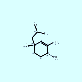 CCC[C@@]1(C[C@H](F)CC)C=C(C)[C@H](C)CC1